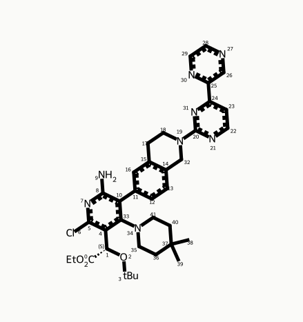 CCOC(=O)[C@@H](OC(C)(C)C)c1c(Cl)nc(N)c(-c2ccc3c(c2)CCN(c2nccc(-c4cnccn4)n2)C3)c1N1CCC(C)(C)CC1